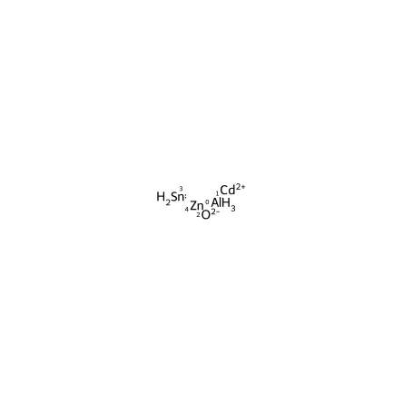 [AlH3].[Cd+2].[O-2].[SnH2].[Zn]